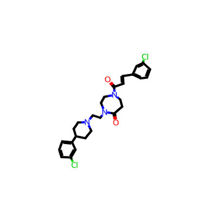 O=C(/C=C/c1cccc(Cl)c1)N1CCC(=O)N(CCN2CCC(c3cccc(Cl)c3)CC2)CC1